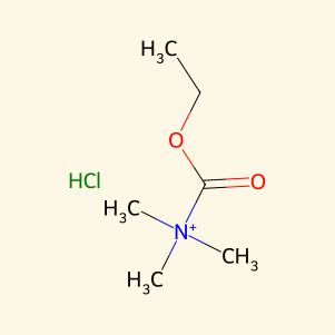 CCOC(=O)[N+](C)(C)C.Cl